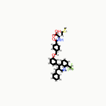 CSCC[C@H](NC(=O)c1ccc(COc2cccc(-c3c(Cc4ccccc4)cnc4c(C(F)(F)F)cccc34)c2)cc1)C(=O)O